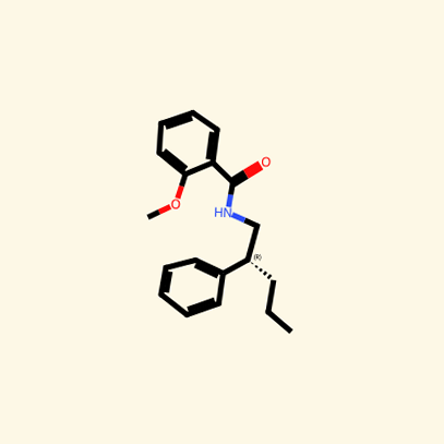 CCC[C@@H](CNC(=O)c1ccccc1OC)c1ccccc1